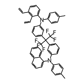 C=Cc1cccc(N(c2ccc(C)cc2)c2cccc(C(c3cccc(N(c4ccc(C)cc4)c4cccc5ccccc45)c3)(C(F)(F)F)C(F)(F)F)c2)c1C=C